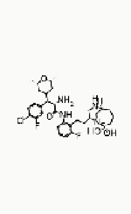 C[C@@H]1CC([C@H](c2ccc(Cl)c(F)c2)[C@H](N)C(=O)Nc2cccc(F)c2CC[C@H]2CN[C@@H]3CCCS(O)(O)N2C3)C[C@H](C)O1